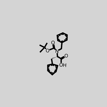 CC(C)(C)OC(=O)N(Cc1ccccc1)[C@@H](Cc1ccccc1)C(=O)O